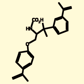 C=C(C)c1ccc(OCC(NC(=O)O)C(C)(C)c2cccc(C(=C)C)c2)cc1